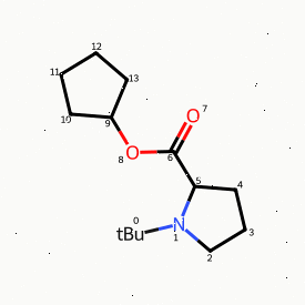 CC(C)(C)N1CCCC1C(=O)OC1CCCC1